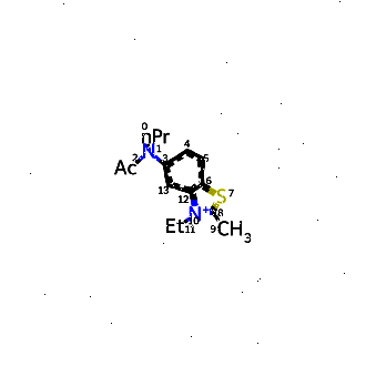 CCCN(C(C)=O)c1ccc2sc(C)[n+](CC)c2c1